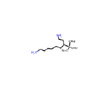 CO[Si](OC)(OC)C(CCN)CCCCCCN